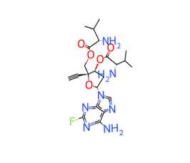 C#C[C@]1(COC(=O)[C@@H](N)C(C)C)O[C@@H](n2cnc3c(N)nc(F)nc32)C[C@@H]1OC(=O)[C@@H](N)C(C)C